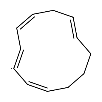 [C]1=C/C=C\C/C=C/CCC\C=C/1